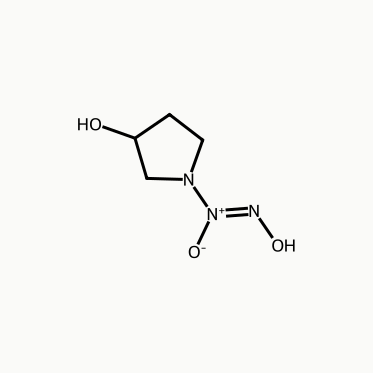 [O-]/[N+](=N\O)N1CCC(O)C1